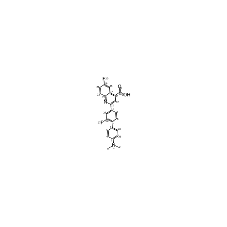 CN(C)c1ccc(-c2ccc(-c3cc(C(=O)O)c4cc(F)ccc4n3)cc2F)cc1